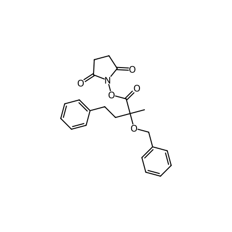 CC(CCc1ccccc1)(OCc1ccccc1)C(=O)ON1C(=O)CCC1=O